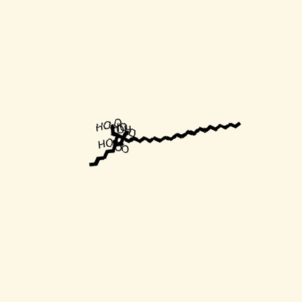 CCCCCCCCCCCCCCCCCCCCCCC(C(=O)O)(C(=O)CCCCCCC)C(O)(CC(=O)O)C(=O)O